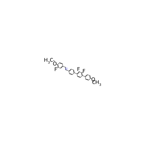 CCOc1ccc(/C=C/c2ccc(-c3ccc(-c4ccc(OC)cc4)c(F)c3F)cc2)cc1F